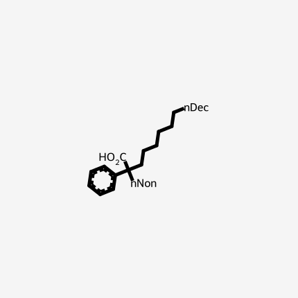 CCCCCCCCCCCCCCCCC(CCCCCCCCC)(C(=O)O)c1ccccc1